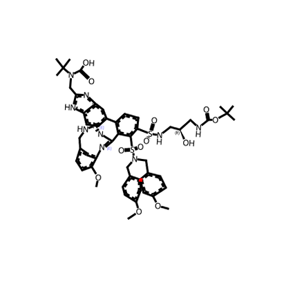 COc1ccc(CN(Cc2ccc(OC)cc2)S(=O)(=O)c2c(S(=O)(=O)NC[C@H](O)CNC(=O)OC(C)(C)C)ccc(-c3ccc4[nH]c(CN(C(=O)O)C(C)(C)C)nc4c3)c2C2=N\c3cc(ccc3OC)CN\N=N\2)cc1